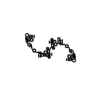 O=C(CCC(=O)Oc1ccc([C@@H](O)CNCCc2ccc(CCN3CCC(Cn4cnc(C(O)(c5ccccc5)C5CCCCC5)n4)CC3)cc2)c2ccc(=O)[nH]c12)Oc1ccc([C@@H](O)CNCCc2ccc(CCN3CCC(Cn4cnc(C(O)(c5ccccc5)C5CCCCC5)n4)CC3)cc2)c2ccc(=O)[nH]c12